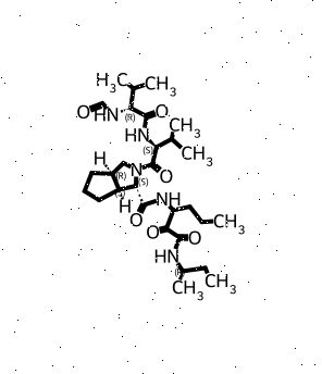 CCCC(NC(=O)[C@@H]1[C@H]2CCC[C@H]2CN1C(=O)[C@@H](NC(=O)[C@H](NC=O)C(C)C)C(C)C)C(=O)C(=O)N[C@H](C)CC